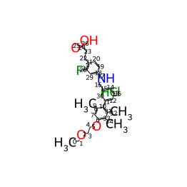 CCOCCOc1cc(C)c(-c2cccc(CNc3ccc(CCC(=O)O)c(F)c3)c2)c(C)c1C.Cl